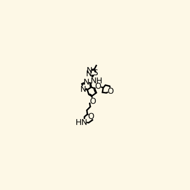 Cc1nnc(Nc2ncnc3cc(OCCCC4CNCCO4)cc(OC4CCOCC4)c23)s1